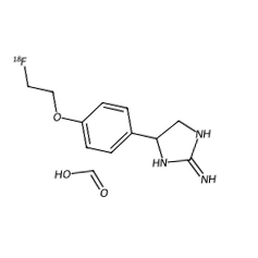 N=C1NCC(c2ccc(OCC[18F])cc2)N1.O=CO